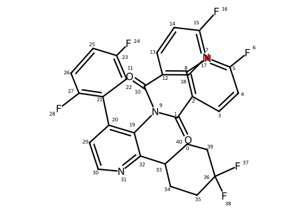 O=C(c1ccc(F)nc1)N(C(=O)c1ccc(F)nc1)c1c(-c2cc(F)ccc2F)ccnc1C1CCC(F)(F)CC1